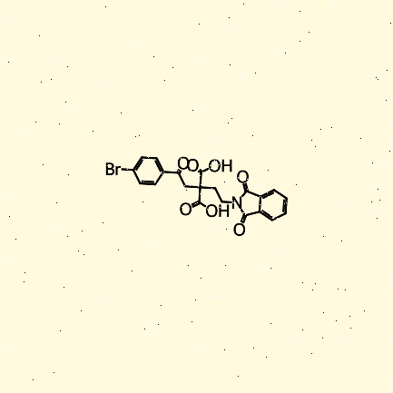 O=C(CC(CCN1C(=O)c2ccccc2C1=O)(C(=O)O)C(=O)O)c1ccc(Br)cc1